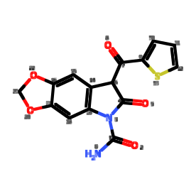 NC(=O)N1C(=O)C(C(=O)c2cccs2)c2cc3c(cc21)OCO3